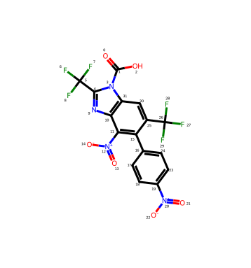 O=C(O)n1c(C(F)(F)F)nc2c([N+](=O)[O-])c(-c3ccc([N+](=O)[O-])cc3)c(C(F)(F)F)cc21